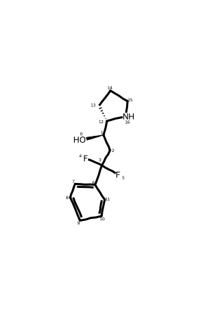 O[C@H](CC(F)(F)c1ccccc1)[C@@H]1CCCN1